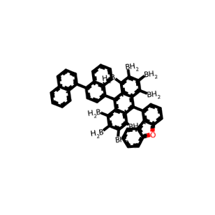 Bc1c(B)c(B)c2c(-c3cccc4oc5ccccc5c34)c3c(B)c(B)c(B)c(B)c3c(-c3ccc(-c4cccc5ccccc45)c4ccccc34)c2c1B